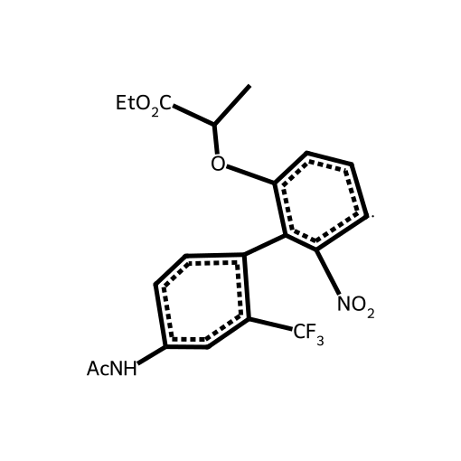 CCOC(=O)C(C)Oc1cc[c]c([N+](=O)[O-])c1-c1ccc(NC(C)=O)cc1C(F)(F)F